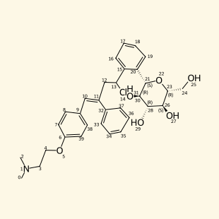 CN(C)CCOc1ccc(C=C(CC(Cl)c2ccccc2[C@@H]2O[C@H](CO)[C@@H](O)[C@H](O)[C@H]2O)c2ccccc2)cc1